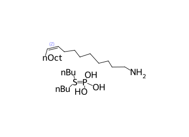 CCCCCCCC/C=C\CCCCCCCCN.CCCCS(CCCC)=P(O)(O)O